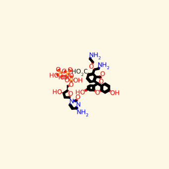 NCCOC(CN)c1c(C(=O)O)ccc2c1C(=O)OC21c2ccc(O)cc2Oc2cc(O)ccc21.Nc1ccn([C@H]2C[C@H](O)[C@@H](COP(=O)(O)OP(=O)(O)OP(=O)(O)O)O2)c(=O)n1